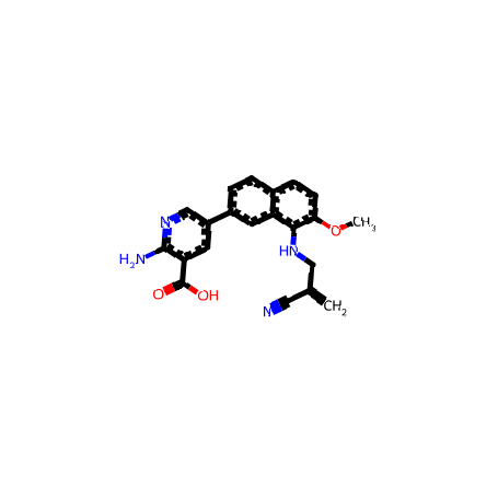 C=C(C#N)CNc1c(OC)ccc2ccc(-c3cnc(N)c(C(=O)O)c3)cc12